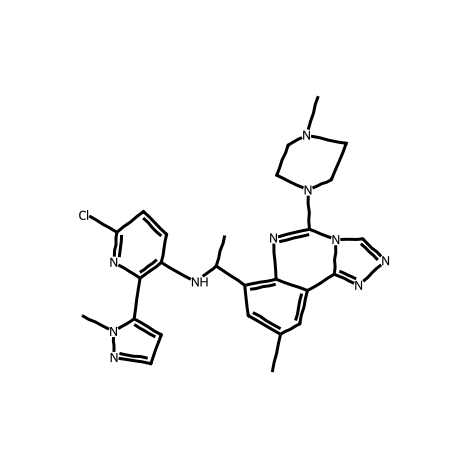 Cc1cc(C(C)Nc2ccc(Cl)nc2-c2ccnn2C)c2nc(N3CCN(C)CC3)n3cnnc3c2c1